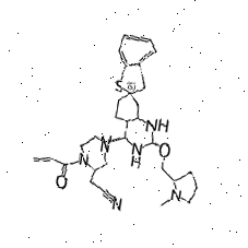 C=CC(=O)N1CCN(C2NC(OCC3CCCN3C)NC3C[C@]4(CCC32)Cc2ccccc2S4)CC1CC#N